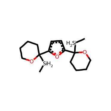 C[SiH2]C1(c2ccc(C3([SiH2]C)CCCCO3)o2)CCCCO1